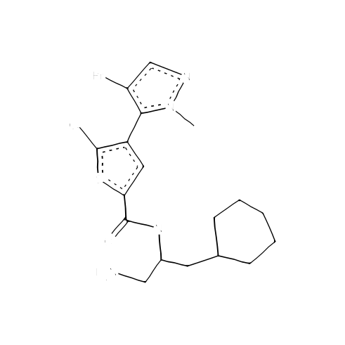 Cn1ncc(Br)c1-c1cc(C(=O)NC(CN)CC2CCCCC2)sc1Cl